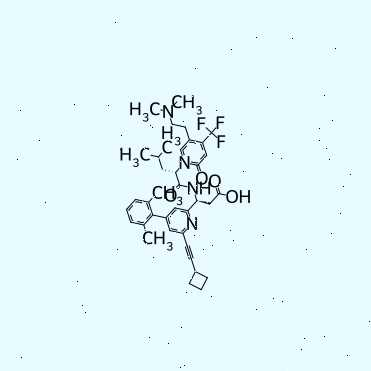 Cc1cccc(C)c1-c1cc(C#CC2CCC2)nc([C@H](CC(=O)O)NC(=O)[C@H](CC(C)C)n2cc(CCN(C)C)c(C(F)(F)F)cc2=O)c1